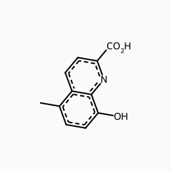 Cc1ccc(O)c2nc(C(=O)O)ccc12